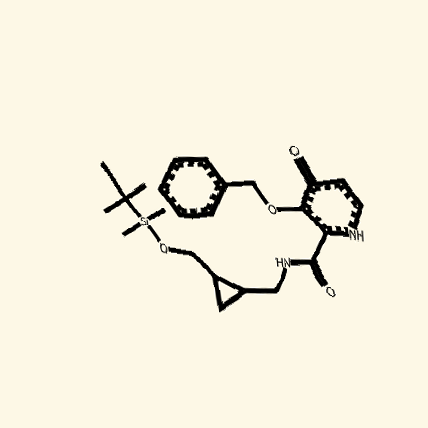 CC(C)(C)[Si](C)(C)OCC1CC1CNC(=O)c1[nH]ccc(=O)c1OCc1ccccc1